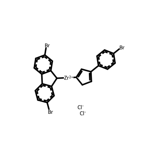 Brc1ccc(C2=CC[C]([Zr+2][CH]3c4cc(Br)ccc4-c4ccc(Br)cc43)=C2)cc1.[Cl-].[Cl-]